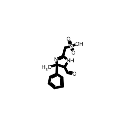 CC1(c2ccccc2)N=C(CS(=O)(=O)O)NC1C=O